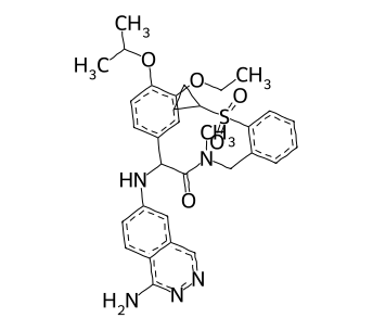 CCOc1cc(C(Nc2ccc3c(N)nncc3c2)C(=O)N(C)Cc2ccccc2S(=O)(=O)C2CC2)ccc1OC(C)C